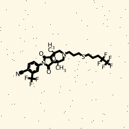 C[C@]12CN(CCCSCCCC(F)(F)C(F)(F)F)C[C@](C)(O1)C1C(=O)N(c3ccc(C#N)c(C(F)(F)F)c3)C(=O)C12